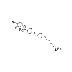 CCCCCCCC[C@H]1CC[C@H](CC[C@H]2CC[C@H](C(=O)Oc3ccc(C#N)c(F)c3F)CC2)CC1